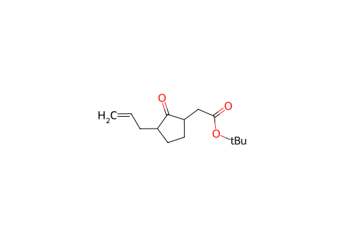 C=CCC1CCC(CC(=O)OC(C)(C)C)C1=O